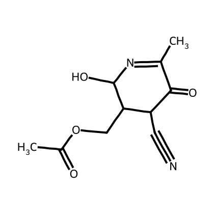 CC(=O)OCC1C(O)N=C(C)C(=O)C1C#N